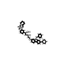 CS(=O)(=O)N(Cc1ccccc1)c1cccc([C@@H](O)CNCCOc2ccc3c4ccc(C5CCCCC5)cc4n(Cc4ccccc4)c3c2)c1